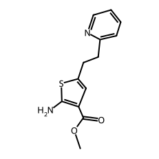 COC(=O)c1cc(CCc2ccccn2)sc1N